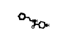 O=C(NCCc1ccccc1)C1CCNCC1